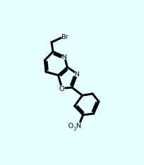 O=[N+]([O-])C1=CC(c2nc3nc(CBr)ccc3o2)CC=C1